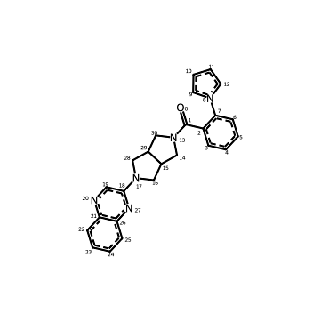 O=C(c1ccccc1-n1cccc1)N1CC2CN(c3cnc4ccccc4n3)CC2C1